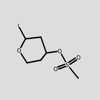 CS(=O)(=O)OC1CCOC(I)C1